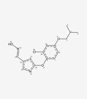 CC(C)COc1ccc(Oc2ncc(C=NO)s2)c(Cl)c1